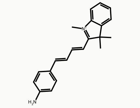 C[N+]1=C(C=CC=Cc2ccc(N)cc2)C(C)(C)c2ccccc21